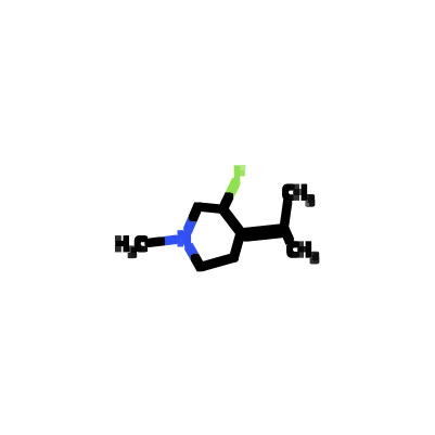 CC(C)=C1CCN(C)CC1F